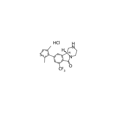 Cc1csc(C)c1-c1cc2c(c(C(F)(F)F)c1)C(=O)N1CCNC[C@@H]21.Cl